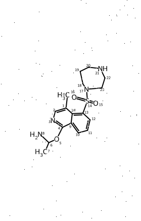 Cc1cnc(OC(C)N)c2cccc(S(=O)(=O)N3CCCNCC3)c12